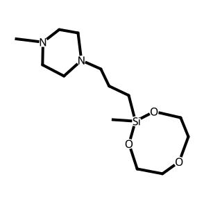 CN1CCN(CCC[Si]2(C)OCCOCCO2)CC1